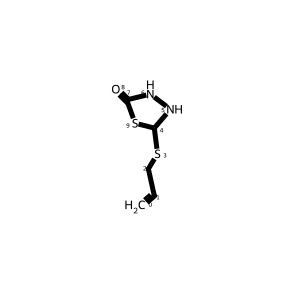 C=CCSC1NNC(=O)S1